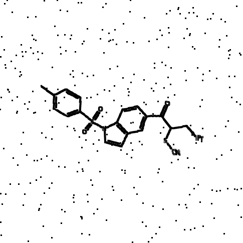 Cc1ccc(S(=O)(=O)n2ccc3cc(C(=O)C(CC(C)C)SC#N)ccc32)cc1